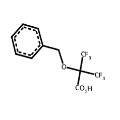 O=C(O)C(OCc1ccccc1)(C(F)(F)F)C(F)(F)F